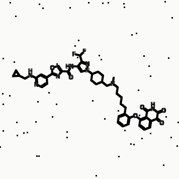 CN(CCCCCc1ccccc1Oc1cccc2c1C(=O)NC(=O)C2=O)CC1CCC(n2cc(NC(=O)c3coc(-c4ccnc(NCC5CC5)c4)n3)c(C(F)F)n2)CC1